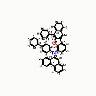 c1ccc(-c2ccc(N(c3cc4ccccc4c4ccccc34)c3cccc4c3oc3c(-c5ccccc5)c5ccccc5cc34)cc2)cc1